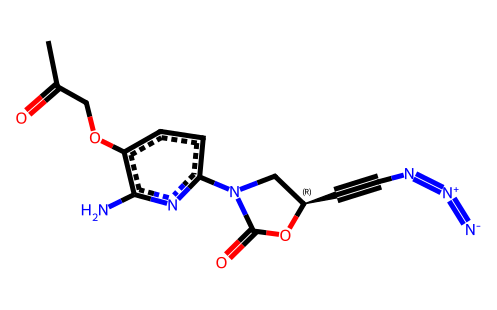 CC(=O)COc1ccc(N2C[C@@H](C#CN=[N+]=[N-])OC2=O)nc1N